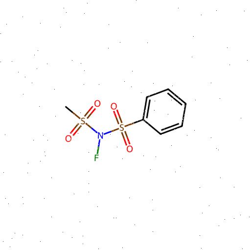 CS(=O)(=O)N(F)S(=O)(=O)c1ccccc1